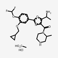 CC(=O)O.CC(N)c1oc(-c2ccc(OC(F)F)c(OCC3CC3)c2)nc1C(=O)N1CCNCC1C.Cl